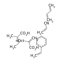 C=C(CCCCCCCC)C(=O)O.C=CC#N.C=CC=C.C=Cc1ccccc1.CC=C(C)C(=O)O